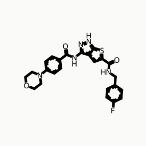 O=C(Nc1n[nH]c2sc(C(=O)NCc3ccc(F)cc3)cc12)c1ccc(N2CCOCC2)cc1